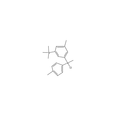 Cc1ccc([Si](C)(Cl)c2cc(C)cc([Si](C)(C)C)c2)cc1